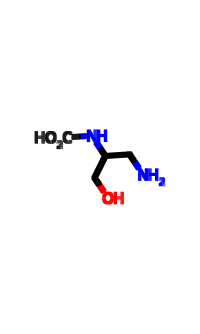 NCC(CO)NC(=O)O